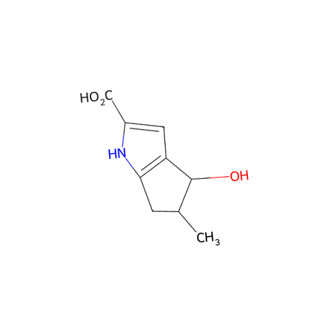 CC1Cc2[nH]c(C(=O)O)cc2C1O